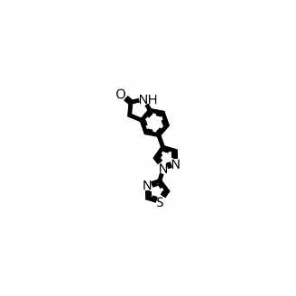 O=C1Cc2cc(-c3cnn(-c4cscn4)c3)ccc2N1